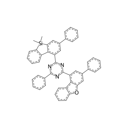 C[Si]1(C)c2ccccc2-c2c(-c3nc(-c4ccccc4)nc(-c4cc(-c5ccccc5)cc5oc6ccccc6c45)n3)cc(-c3ccccc3)cc21